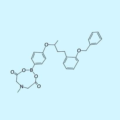 CC(CCc1ccccc1OCc1ccccc1)Oc1ccc(B2OC(=O)CN(C)CC(=O)O2)cc1